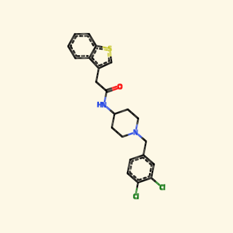 O=C(Cc1csc2ccccc12)NC1CCN(Cc2ccc(Cl)c(Cl)c2)CC1